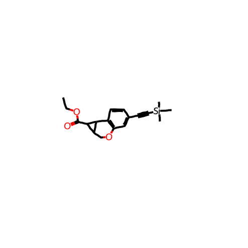 CCOC(=O)C1C2COc3cc(C#C[Si](C)(C)C)ccc3C21